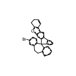 Brc1ccc2c(c1)CCc1ccccc1C21c2ccccc2-c2cc3c4c(oc3cc21)CCC=C4